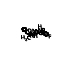 Cc1[nH]n(-c2ccc(NS(=O)(=O)c3ccc(F)cc3)cn2)c(=O)c1Cc1ccccc1